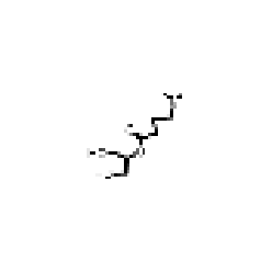 CN(C)CCCC(=O)OC(CO)CO